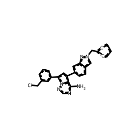 Nc1ncnn2c(-c3cccc(CCl)c3)cc(-c3ccc4cn(Cc5ccccc5)nc4c3)c12